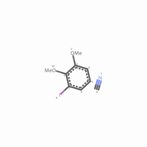 C#N.COc1cccc(I)c1OC